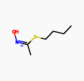 CCCCS/C(C)=N\O